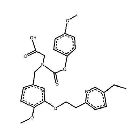 CCc1ccc(CCOc2cc(CN(CC(=O)O)C(=O)Oc3ccc(OC)cc3)ccc2OC)nc1